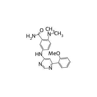 COc1ccccc1-c1cc(Nc2ccc(N(C)C)c(C(N)=O)c2)ncn1